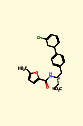 O=C(O)C[C@@H](Cc1ccc(C2C=CC=C(Cl)C2)cc1)NC(=O)c1ccc(C(=O)O)o1